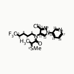 CSC(C)C(=O)N(CCCCC(F)(F)F)c1cn(-c2cccnc2)nc1Cl